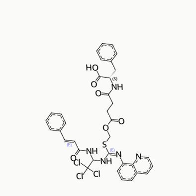 O=C(/C=C/c1ccccc1)NC(N/C(=N\c1cccc2cccnc12)SCOC(=O)CCC(=O)N[C@@H](Cc1ccccc1)C(=O)O)C(Cl)(Cl)Cl